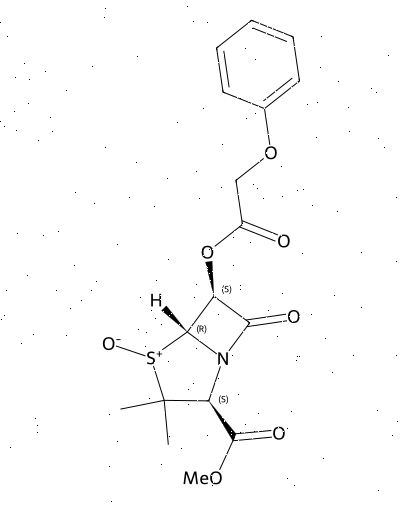 COC(=O)[C@@H]1N2C(=O)[C@H](OC(=O)COc3ccccc3)[C@H]2[S+]([O-])C1(C)C